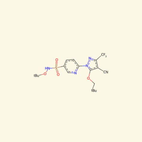 CC(C)(C)COc1c(C#N)c(C(F)(F)F)nn1-c1ccc(S(=O)(=O)NOC(C)(C)C)cn1